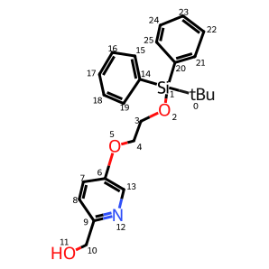 CC(C)(C)[Si](OCCOc1ccc(CO)nc1)(c1ccccc1)c1ccccc1